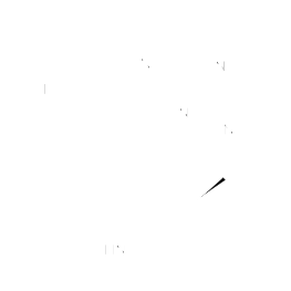 C[C@H]1CCNC[C@@H]1c1cc(C(F)F)nc2ncnn12